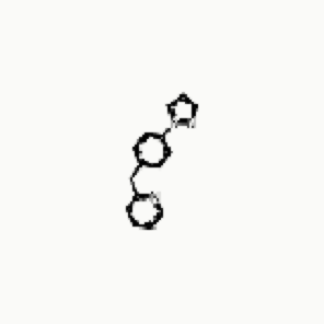 [c]1ccc(Cc2ccc(-n3cccn3)cc2)nc1